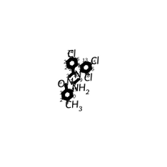 Cc1ccc(C(=O)N2CCN(c3ccc(Cl)cc3Cl)C(c3ccc(Cl)cc3)C2)c(N)c1